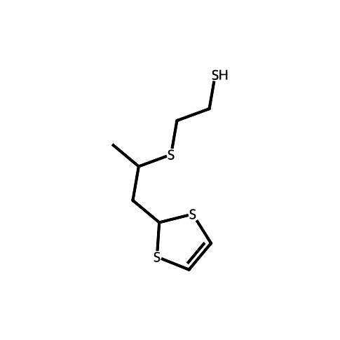 CC(CC1SC=CS1)SCCS